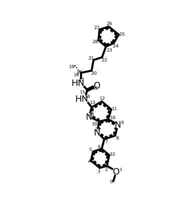 COc1cccc(-c2cnc3ccc(NC(=O)N[C@H](C)CCCc4ccccc4)nc3n2)c1